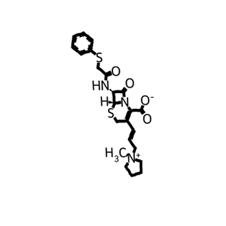 C[N+]1(C/C=C/C2=C(C(=O)[O-])N3C(=O)[C@@H](NC(=O)CSc4ccccc4)[C@H]3SC2)CCCC1